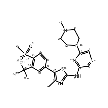 Cc1nc(Nc2cncc(N3CCN(C)CC3)n2)sc1-c1ccc(S(C)(=O)=O)c(C(F)(F)F)c1